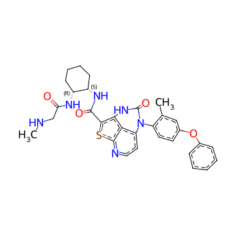 CNCC(=O)N[C@@H]1CCCC[C@@H]1NC(=O)c1sc2nccc3c2c1NC(=O)N3c1ccc(Oc2ccccc2)cc1C